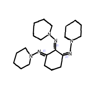 C1CCN(/N=C2/CCCC(=N\N3CCCCC3)/C2=N\N2CCCCC2)CC1